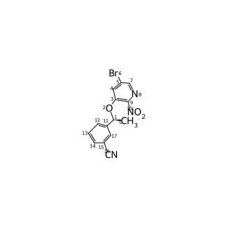 C[C@H](Oc1cc(Br)cnc1[N+](=O)[O-])c1cccc(C#N)c1